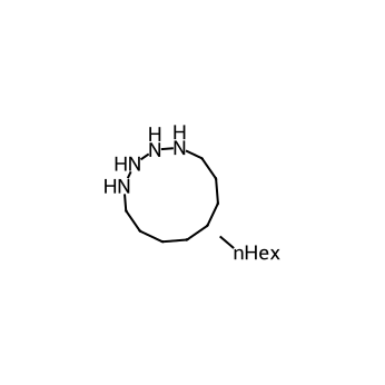 C1CCCCNNNNCCC1.CCCCCCC